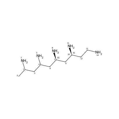 CC(N)CC(N)C[C@@H](N)C[C@@H](N)CCN